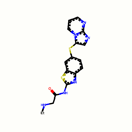 CCNCC(=O)Nc1nc2ccc(Sc3cnc4ncccn34)cc2s1